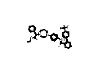 CCOC(=O)C(c1ccccc1)N1CCCN(c2ccc(NC(=O)c3ccccc3-c3ccc(C(C)(F)F)cc3)cc2)CC1